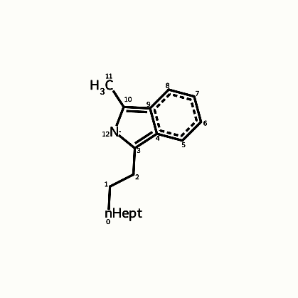 CCCCCCCCCC1=c2ccccc2=C(C)[N]1